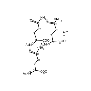 CC(=O)NC(CCC(N)=O)C(=O)[O-].CC(=O)NC(CCC(N)=O)C(=O)[O-].CC(=O)NC(CCC(N)=O)C(=O)[O-].[Al+3]